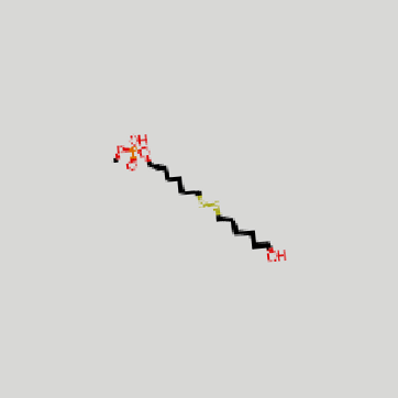 COP(=O)(O)OCCCCCCSSCCCCCCO